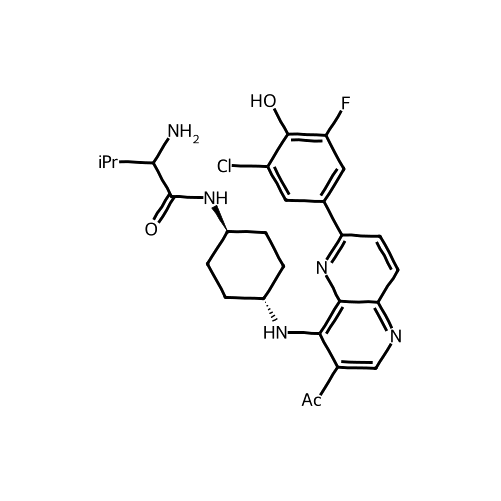 CC(=O)c1cnc2ccc(-c3cc(F)c(O)c(Cl)c3)nc2c1N[C@H]1CC[C@H](NC(=O)C(N)C(C)C)CC1